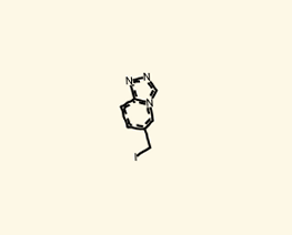 ICc1ccc2nncn2c1